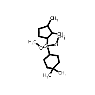 CO[Si](OC)(C1CCC(C)(C)CC1)C1CCC(C)C1C